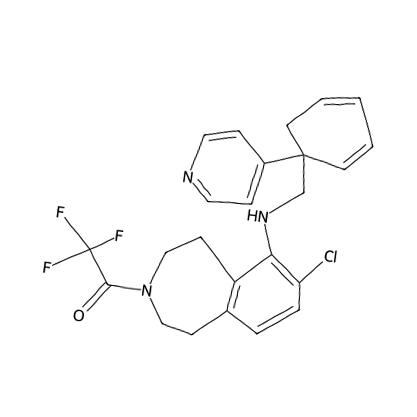 O=C(N1CCc2ccc(Cl)c(NCC3(c4ccncc4)C=CC=CC3)c2CC1)C(F)(F)F